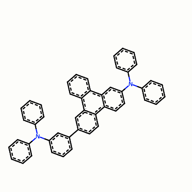 c1ccc(N(c2ccccc2)c2cccc(-c3ccc4c5ccc(N(c6ccccc6)c6ccccc6)cc5c5ccccc5c4c3)c2)cc1